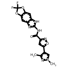 Cc1nn(C)cc1-c1cc(C(=O)Nc2nc3cc4c(cc3[nH]2)OC(F)(F)O4)no1